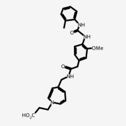 COc1cc(CC(=O)NCC2=CC=CN(CCC(=O)O)C=C2)ccc1NC(=O)Nc1ccccc1C